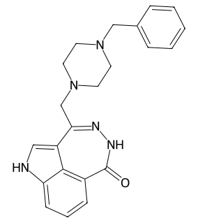 O=C1NN=C(CN2CCN(Cc3ccccc3)CC2)c2c[nH]c3cccc1c23